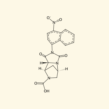 O=C1[C@H]2[C@H]3C[C@H](CN3C(=O)O)N2C(=O)N1c1ccc([N+](=O)[O-])c2ccccc12